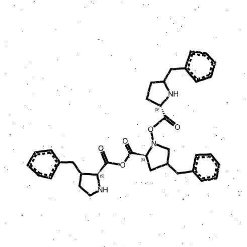 O=C(ON1CC(Cc2ccccc2)C[C@H]1C(=O)OC(=O)[C@H]1NCCC1Cc1ccccc1)[C@@H]1CCC(Cc2ccccc2)N1